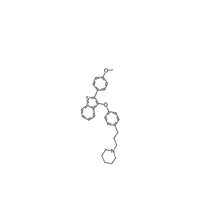 COc1ccc(-c2sc3ccccc3c2Oc2ccc(CCCN3CCCCC3)cc2)cc1